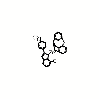 Clc1cccc2c1[CH]([Zr+2][CH]1C3=Cc4c(cccc41)Sc1cccc3c1)C(c1ccccc1)=C2.[Cl-].[Cl-]